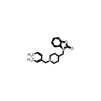 C/C=C\C(=C/C)CN1CCC(Cn2c(=O)oc3ccccc32)CC1